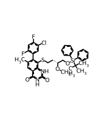 CO[C@H](CCSc1c(-c2cc(Cl)c(F)cc2F)c(C)cc2c(=O)[nH]c(=O)[nH]c12)CO[Si](c1ccccc1)(c1ccccc1)C(C)(C)C